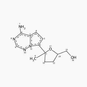 CC1(c2ccc3c(N)ncnn23)CCC(CO)O1